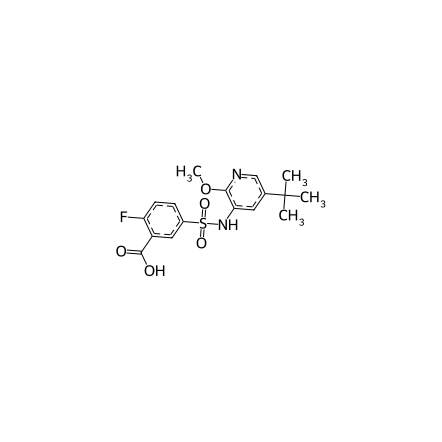 COc1ncc(C(C)(C)C)cc1NS(=O)(=O)c1ccc(F)c(C(=O)O)c1